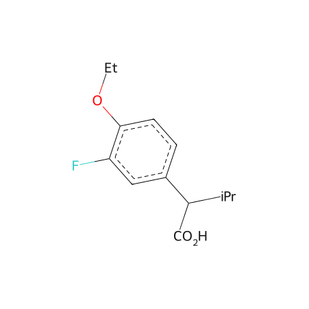 CCOc1ccc(C(C(=O)O)C(C)C)cc1F